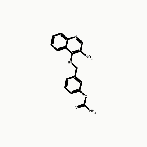 NC(=O)Oc1cccc(CNc2c([N+](=O)[O-])cnc3ccccc23)c1